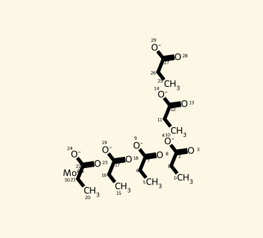 CCC(=O)[O-].CCC(=O)[O-].CCC(=O)[O-].CCC(=O)[O-].CCC(=O)[O-].CCC(=O)[O-].[Mo+6]